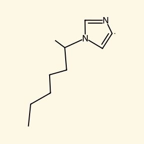 CCCCCC(C)n1c[c]nc1